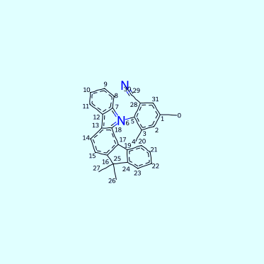 Cc1cc(C)c(-n2c3ccccc3c3ccc4c(c32)-c2ccccc2C4(C)C)c(C#N)c1